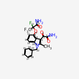 Cc1c(C(=O)C(N)=O)c2c(OC(F)(C(N)=O)C(F)(F)F)cccc2n1Cc1ccccc1